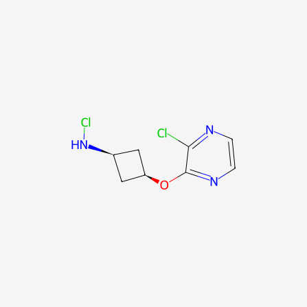 ClN[C@H]1C[C@@H](Oc2nccnc2Cl)C1